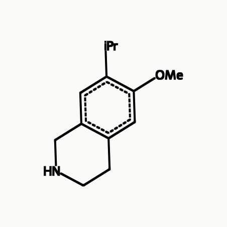 COc1cc2c(cc1C(C)C)CNCC2